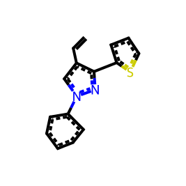 C=Cc1cn(-c2ccccc2)nc1-c1cccs1